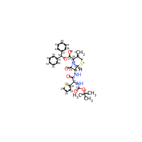 C=C1CS[C@H]2[C@H](NC(=O)C(NC(=O)OC(C)(C)C)c3cccs3)C(=O)N2[C@H]1C(=O)OC(c1ccccc1)c1ccccc1